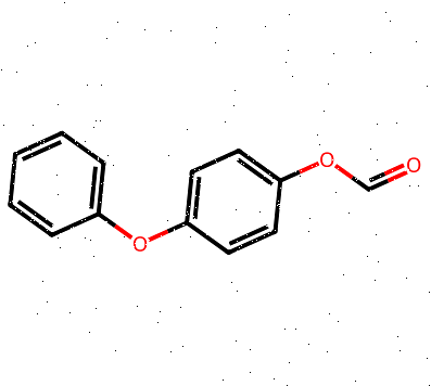 O=COc1ccc(Oc2ccccc2)cc1